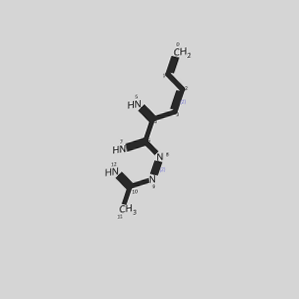 C=C/C=C\C(=N)C(=N)/N=N\C(C)=N